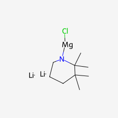 CC1(C)CCC[N]([Mg][Cl])C1(C)C.[Li].[Li]